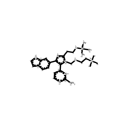 CC(C)[Si](OCCc1nc(-c2ccc3ccoc3c2)c(-c2ccnc(N)n2)n1COCC[Si](C)(C)C)(C(C)C)C(C)C